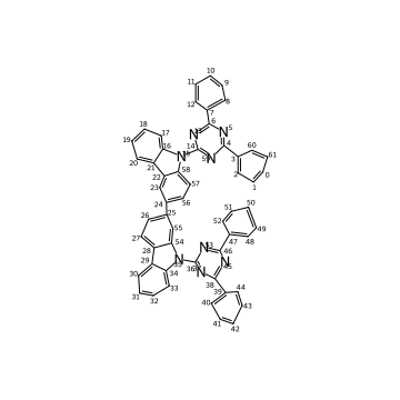 c1ccc(-c2nc(-c3ccccc3)nc(-n3c4ccccc4c4cc(-c5ccc6c7ccccc7n(-c7nc(-c8ccccc8)nc(-c8ccccc8)n7)c6c5)ccc43)n2)cc1